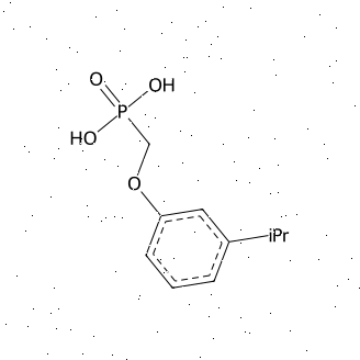 CC(C)c1cccc(OCP(=O)(O)O)c1